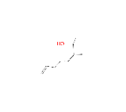 C=CCCC[C@@H](C)[C@@H](C)O